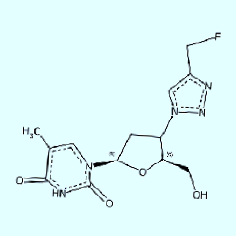 Cc1cn([C@H]2CC(n3cc(CF)nn3)[C@@H](CO)O2)c(=O)[nH]c1=O